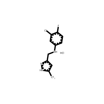 Cl.Fc1ccc(NCc2cc(C(F)(F)F)[nH]n2)cc1Cl